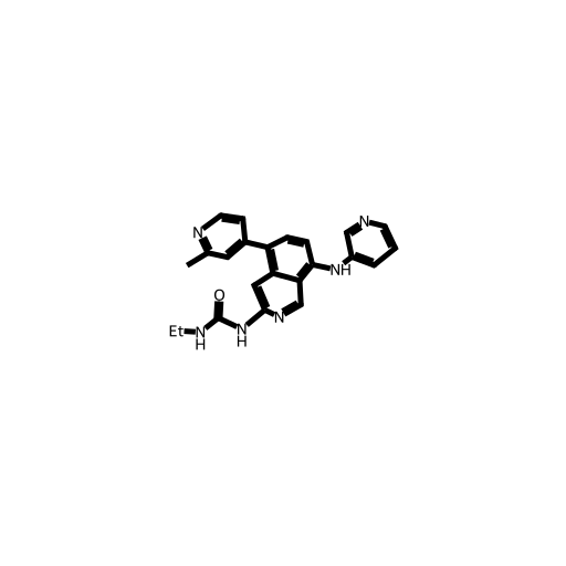 CCNC(=O)Nc1cc2c(-c3ccnc(C)c3)ccc(Nc3cccnc3)c2cn1